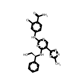 Cc1nnc(-c2cnc(Nc3ccc(C(N)=O)c(Cl)c3)nc2N[C@H](CO)c2ccccc2)s1